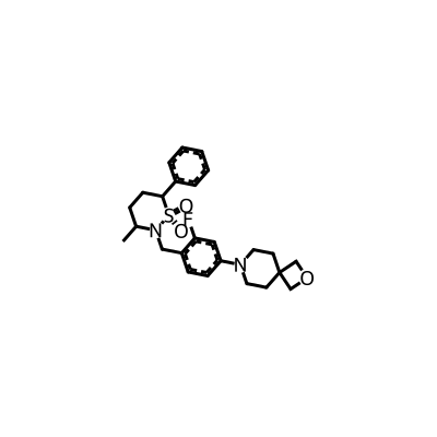 CC1CCC(c2ccccc2)S(=O)(=O)N1Cc1ccc(N2CCC3(CC2)COC3)cc1F